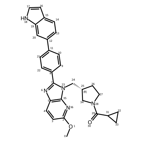 COc1ccc2nc(-c3ccc(-c4ccc5cc[nH]c5c4)cc3)n(C[C@@H]3CCN(C(=O)C4CC4)C3)c2n1